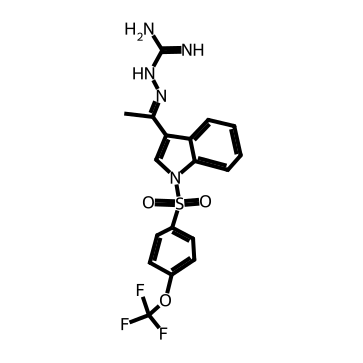 CC(=NNC(=N)N)c1cn(S(=O)(=O)c2ccc(OC(F)(F)F)cc2)c2ccccc12